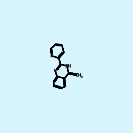 C=C1NC(c2ccccn2)=Nc2ccccc21